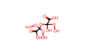 O=C(O)C(O)(OO)OC(OO)(OO)C(=O)O